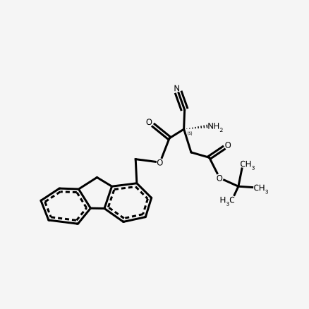 CC(C)(C)OC(=O)C[C@](N)(C#N)C(=O)OCc1cccc2c1Cc1ccccc1-2